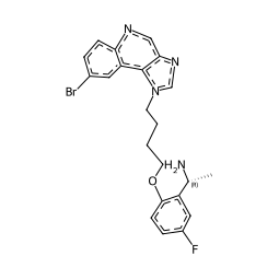 C[C@@H](N)c1cc(F)ccc1OCCCCn1cnc2cnc3ccc(Br)cc3c21